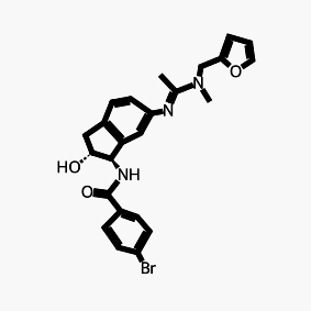 C/C(=N\c1ccc2c(c1)[C@@H](NC(=O)c1ccc(Br)cc1)[C@H](O)C2)N(C)Cc1ccco1